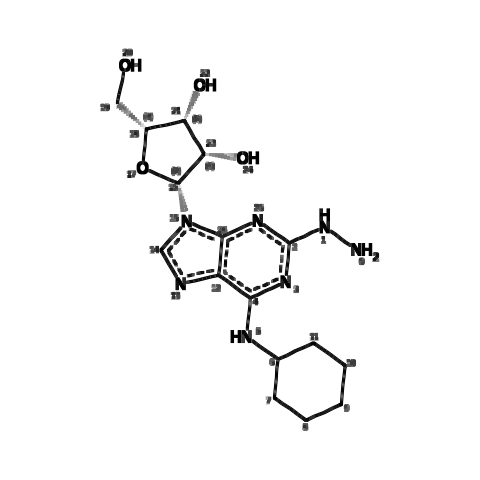 NNc1nc(NC2CCCCC2)c2ncn([C@@H]3O[C@H](CO)[C@H](O)[C@@H]3O)c2n1